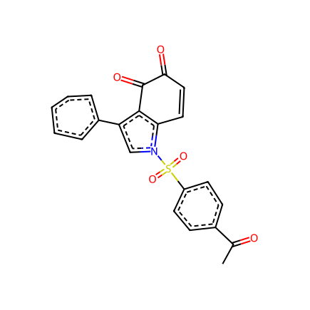 CC(=O)c1ccc(S(=O)(=O)n2cc(-c3ccccc3)c3c2C=CC(=O)C3=O)cc1